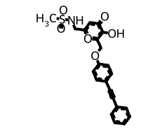 CS(=O)(=O)NCc1cc(=O)c(O)c(COc2ccc(C#Cc3ccccc3)cc2)o1